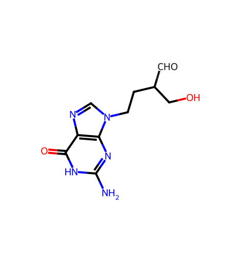 Nc1nc2c(ncn2CCC(C=O)CO)c(=O)[nH]1